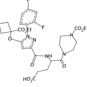 CCOC(=O)N1CCN(C(=O)C(CCC(=O)O)NC(=O)c2cc(OC3(C(=O)OCC)CCC3)n(-c3ccc(F)cc3F)n2)CC1